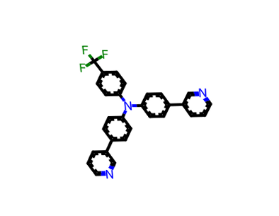 FC(F)(F)c1ccc(N(c2ccc(-c3cccnc3)cc2)c2ccc(-c3cccnc3)cc2)cc1